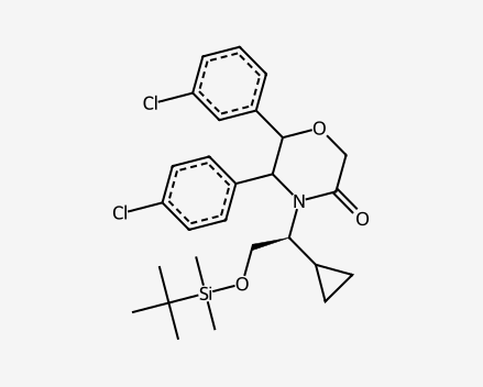 CC(C)(C)[Si](C)(C)OC[C@H](C1CC1)N1C(=O)COC(c2cccc(Cl)c2)C1c1ccc(Cl)cc1